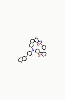 c1ccc(-c2nc3ccc4ccc5ccc(N(c6ccc(-c7ccc8ccccc8c7)cc6)c6ccc7c(c6)oc6ccccc67)cc5c4c3o2)cc1